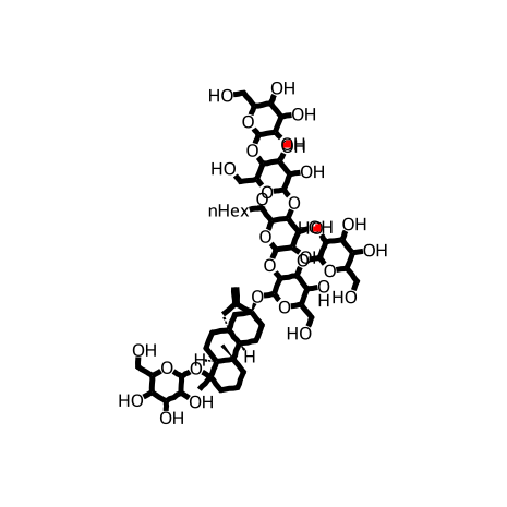 C=C1C[C@@]23CC[C@@H]4C(C)(OC5OC(CO)C(O)C(O)C5O)CCC[C@@]4(C)[C@@H]2CC[C@]1(OC1OC(CO)C(O)C(OC2OC(CO)C(O)C(O)C2O)C1OC1OC(C(=O)CCCCCC)C(OC2OC(CO)C(OC4OC(CO)C(O)C(O)C4O)C(O)C2O)C(O)C1O)C3